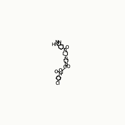 O=C(OCC1CN(c2ccc(Cl)cc2)C(=O)O1)N1CCN(C2CCN(C(=O)c3ccc4[nH]nnc4c3)CC2)CC1